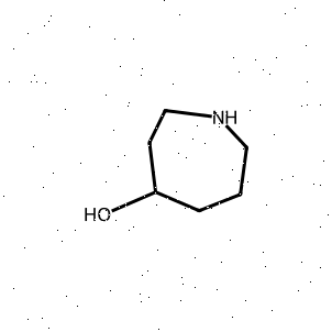 OC1CCCNCC1